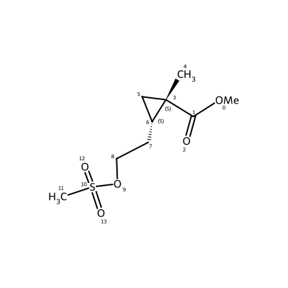 COC(=O)[C@@]1(C)C[C@H]1CCOS(C)(=O)=O